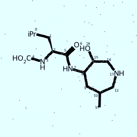 CC(C)C[C@H](NC(=O)O)C(=O)NC1CC(C)CNCC1O